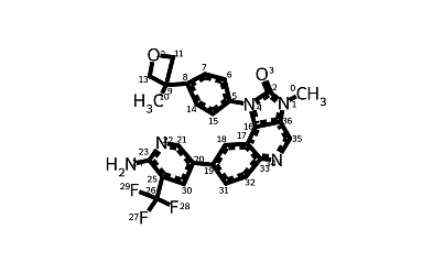 Cn1c(=O)n(-c2ccc(C3(C)COC3)cc2)c2c3cc(-c4cnc(N)c(C(F)(F)F)c4)ccc3ncc21